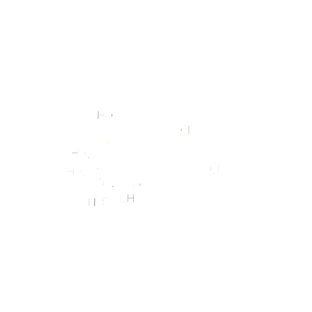 CCc1ccc(-c2ccc(Cl)cc2Cl)cc1C1=C(Sc2ccccc2)C(C)(C)OC(C)(C)C1=O